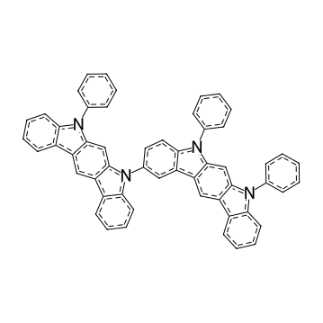 c1ccc(-n2c3ccccc3c3cc4c5ccccc5n(-c5ccc6c(c5)c5cc7c8ccccc8n(-c8ccccc8)c7cc5n6-c5ccccc5)c4cc32)cc1